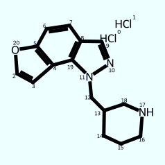 Cl.Cl.c1cc2c(ccc3cnn(CC4CCCNC4)c32)o1